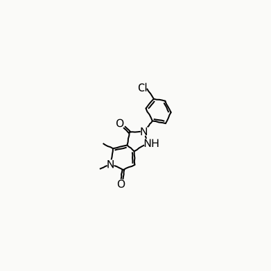 Cc1c2c(=O)n(-c3cccc(Cl)c3)[nH]c2cc(=O)n1C